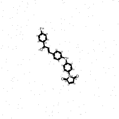 O=C(/C=C/c1ccc(Oc2ccc(N3C(=O)C=CC3=O)cc2)cc1)c1ccc(F)cc1